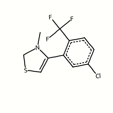 CN1CSC=C1c1cc(Cl)ccc1C(F)(F)F